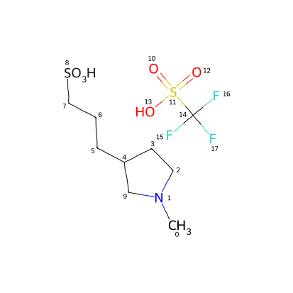 CN1CCC(CCCS(=O)(=O)O)C1.O=S(=O)(O)C(F)(F)F